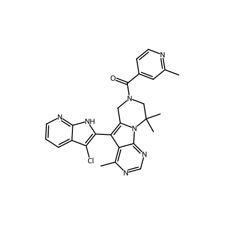 Cc1cc(C(=O)N2Cc3c(-c4[nH]c5ncccc5c4Cl)c4c(C)ncnc4n3C(C)(C)C2)ccn1